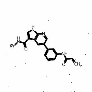 C=CC(=O)Nc1cccc(-c2cnc3[nH]cc(C(=O)NC(C)C)c3c2)c1